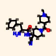 CN1CCC(C(=O)N2CCC(C#N)(NC(=O)C(N)CC3CCCCC3)CC2)CC1